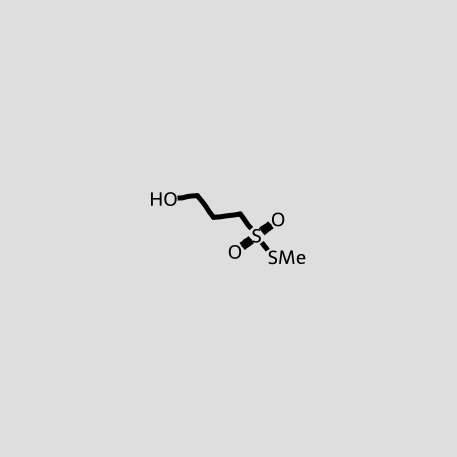 CSS(=O)(=O)CCCO